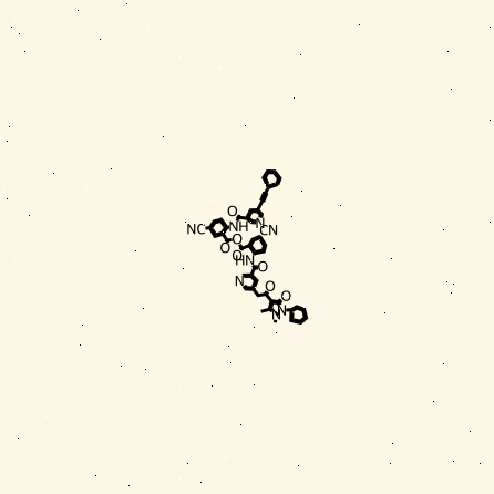 Cc1c(C(=O)Cc2cncc(C(=O)Nc3ccc(C#N)cc3C(=O)OC(=O)c3cc(C#N)ccc3NC(=O)c3cncc(C#Cc4ccccc4)c3)c2)c(=O)n(-c2ccccc2)n1C